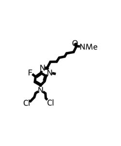 CNC(=O)CCCCCCc1nc2c(F)cc(N(CCCl)CCCl)cc2n1C